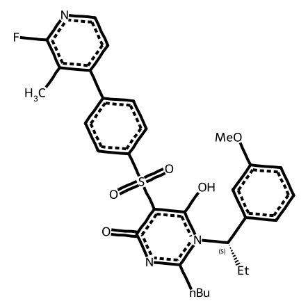 CCCCc1nc(=O)c(S(=O)(=O)c2ccc(-c3ccnc(F)c3C)cc2)c(O)n1[C@@H](CC)c1cccc(OC)c1